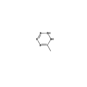 CC1=BB=BBB1